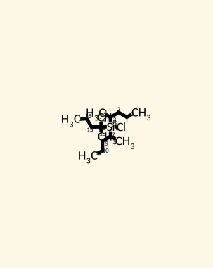 CCCC(C)[Si](Cl)(C(C)CCC)C(C)(C)CCC